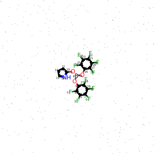 Fc1c(F)c(F)c(OB(Oc2ccc[nH]2)Oc2c(F)c(F)c(F)c(F)c2F)c(F)c1F